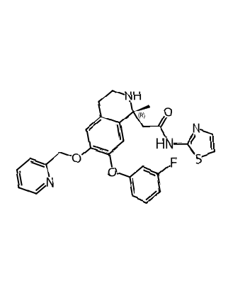 C[C@]1(CC(=O)Nc2nccs2)NCCc2cc(OCc3ccccn3)c(Oc3cccc(F)c3)cc21